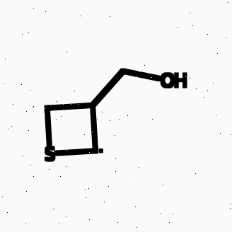 OCC1[CH]SC1